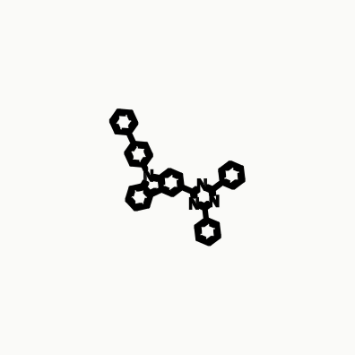 c1ccc(-c2ccc(-n3c4ccccc4c4cc(-c5nc(-c6ccccc6)nc(-c6ccccc6)n5)ccc43)cc2)cc1